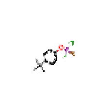 CC(C)(C)c1ccc(OP(=S)(Cl)Cl)cc1